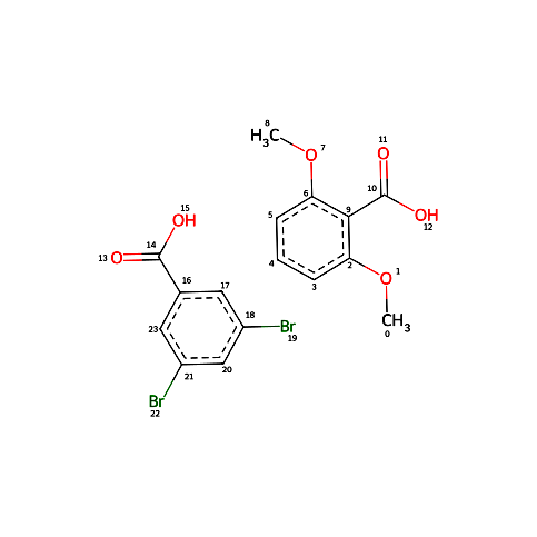 COc1cccc(OC)c1C(=O)O.O=C(O)c1cc(Br)cc(Br)c1